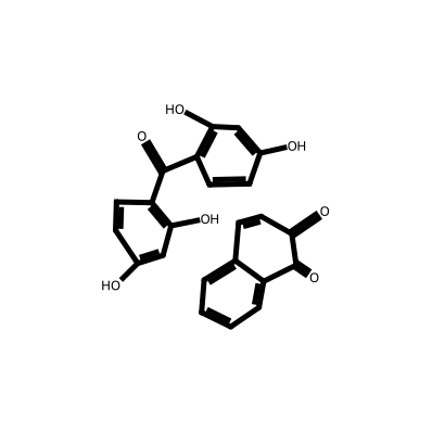 O=C(c1ccc(O)cc1O)c1ccc(O)cc1O.O=C1C=Cc2ccccc2C1=O